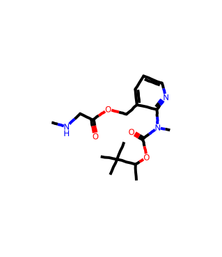 CNCC(=O)OCc1cccnc1N(C)C(=O)OC(C)C(C)(C)C